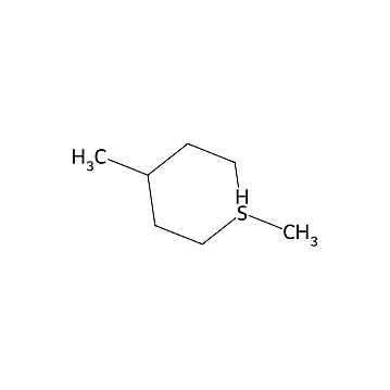 CC1CC[SH](C)CC1